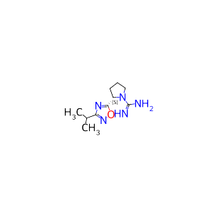 CC(C)c1noc([C@@H]2CCCN2C(=N)N)n1